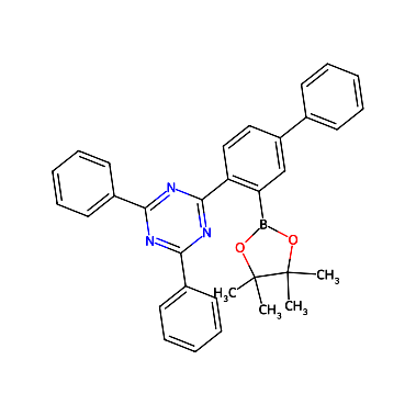 CC1(C)OB(c2cc(-c3ccccc3)ccc2-c2nc(-c3ccccc3)nc(-c3ccccc3)n2)OC1(C)C